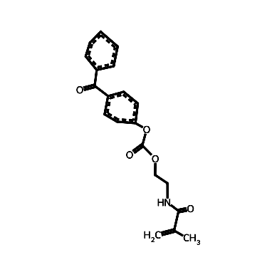 C=C(C)C(=O)NCCOC(=O)Oc1ccc(C(=O)c2ccccc2)cc1